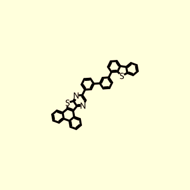 c1cc(-c2cccc(-c3cccc4c3sc3ccccc34)c2)cc(-c2cnc3c(n2)sc2c4ccccc4c4ccccc4c32)c1